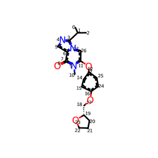 CC(C)c1ncc2c(=O)n(C)c(Oc3ccc(OC[C@@H]4CCCO4)cc3)cn12